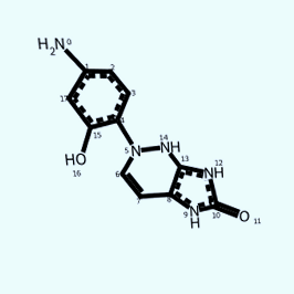 Nc1ccc(N2C=Cc3[nH]c(=O)[nH]c3N2)c(O)c1